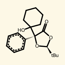 CC(C)(C)[C@@H]1OC(=O)[C@](c2ccccc2)(C2(O)CCCCC2)O1